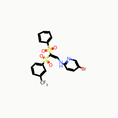 O=S(=O)(C(=CNc1ccc(Br)cn1)S(=O)(=O)c1cccc(C(F)(F)F)c1)c1ccccc1